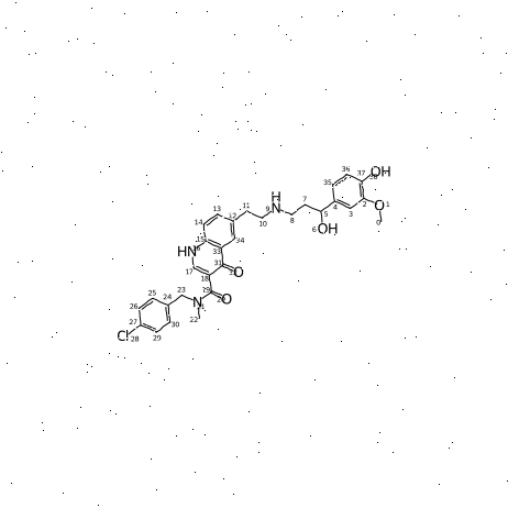 COc1cc(C(O)CCNCCc2ccc3[nH]cc(C(=O)N(C)Cc4ccc(Cl)cc4)c(=O)c3c2)ccc1O